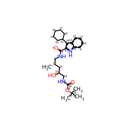 C[C@H](CNC(=O)c1[nH]c2ccccc2c1C1CCCCC1)CC(O)CNC(=O)OC(C)(C)C